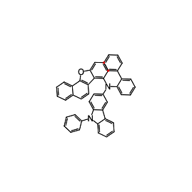 c1ccc(-c2ccccc2N(c2ccc3c(c2)c2ccccc2n3-c2ccccc2)c2cccc3oc4c5ccccc5ccc4c23)cc1